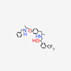 CC(COc1ccc(CC(C)NCC(O)c2cccc(C(F)(F)F)c2)cc1)NCc1ccccc1